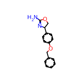 NC1=NC(c2ccc(OCc3ccccc3)cc2)CO1